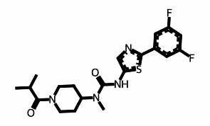 CC(C)C(=O)N1CCC(N(C)C(=O)Nc2cnc(-c3cc(F)cc(F)c3)s2)CC1